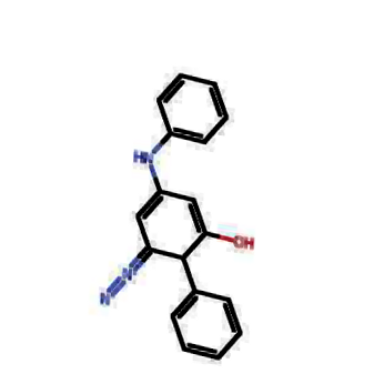 [N-]=[N+]=C1C=C(Nc2ccccc2)C=C(O)C1c1ccccc1